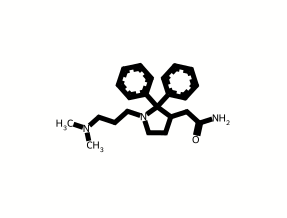 CN(C)CCCN1CCC(CC(N)=O)C1(c1ccccc1)c1ccccc1